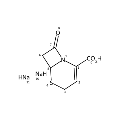 O=C(O)C1=CCSC2CC(=O)N12.[NaH].[NaH]